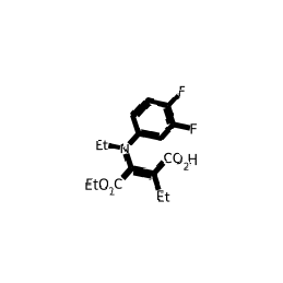 CCOC(=O)C(=C(CC)C(=O)O)N(CC)c1ccc(F)c(F)c1